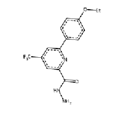 CCOc1ccc(-c2cc(C(F)(F)F)cc(C(=O)NN)n2)cc1